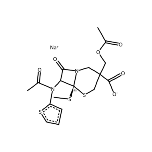 CS[C@]12SCC(COC(C)=O)(C(=O)[O-])CN1C(=O)C2N(C(C)=O)c1cccs1.[Na+]